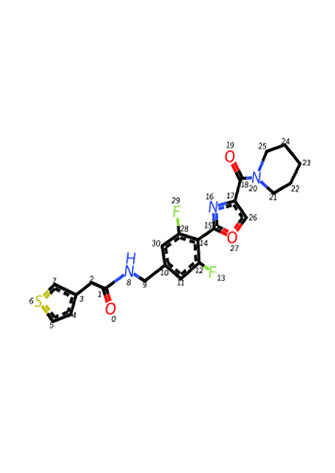 O=C(Cc1ccsc1)NCc1cc(F)c(-c2nc(C(=O)N3CCCCC3)co2)c(F)c1